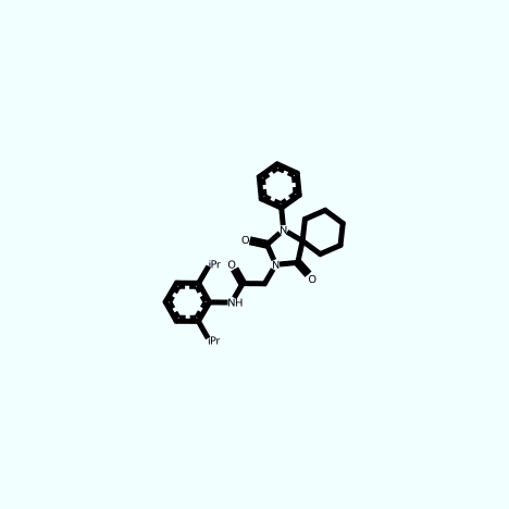 CC(C)c1cccc(C(C)C)c1NC(=O)CN1C(=O)N(c2ccccc2)C2(CCCCC2)C1=O